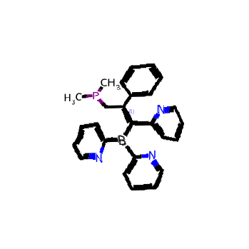 CP(C)C/C(=C(\B(c1ccccn1)c1ccccn1)c1ccccn1)c1ccccc1